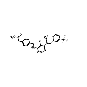 CC(=O)Cc1ccc(CNc2ncnc(N(Cc3cc(C(F)(F)F)ccn3)C3CC3)c2F)cc1